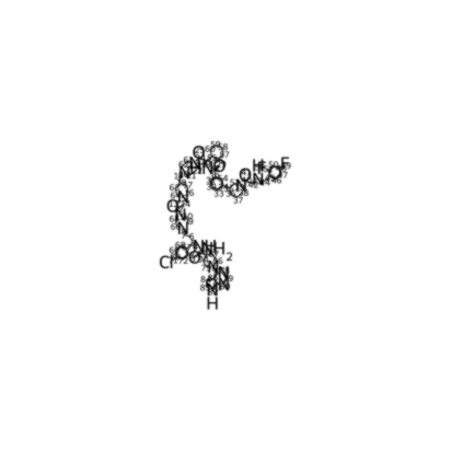 NC1(C(=O)N[C@@H](CCN2CCN(C(=O)CN3CCC(CN4CCN(C(=O)[C@H](NC(=O)c5cccc(C6CCCN(C(=O)CNCc7ccc(F)cc7F)C6)c5)C5CCCCC5)CC4)CC3)CC2)c2ccc(Cl)cc2)CCN(c2ncnc3[nH]ccc23)CC1